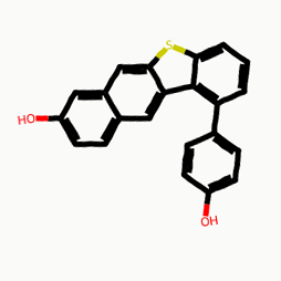 Oc1ccc(-c2cccc3sc4cc5cc(O)ccc5cc4c23)cc1